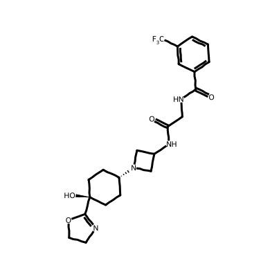 O=C(CNC(=O)c1cccc(C(F)(F)F)c1)NC1CN([C@H]2CC[C@@](O)(C3=NCCO3)CC2)C1